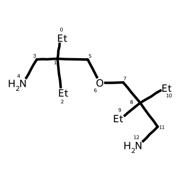 CCC(CC)(CN)COCC(CC)(CC)CN